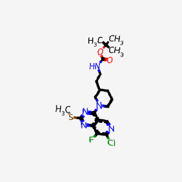 CSc1nc(N2CCCC(CCNC(=O)OC(C)(C)C)C2)c2cnc(Cl)c(F)c2n1